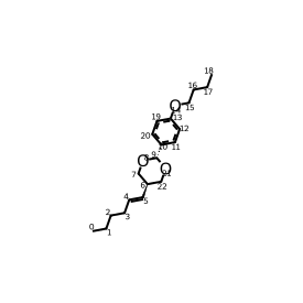 CCCC/C=C/[C@H]1CO[C@H](c2ccc(OCCCC)cc2)OC1